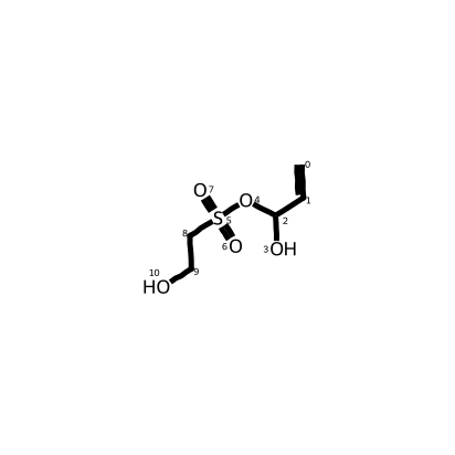 C=CC(O)OS(=O)(=O)CCO